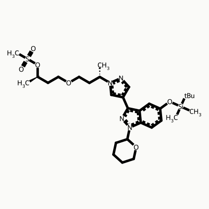 C[C@H](CCOCC[C@H](C)n1cc(-c2nn(C3CCCCO3)c3ccc(O[Si](C)(C)C(C)(C)C)cc23)cn1)OS(C)(=O)=O